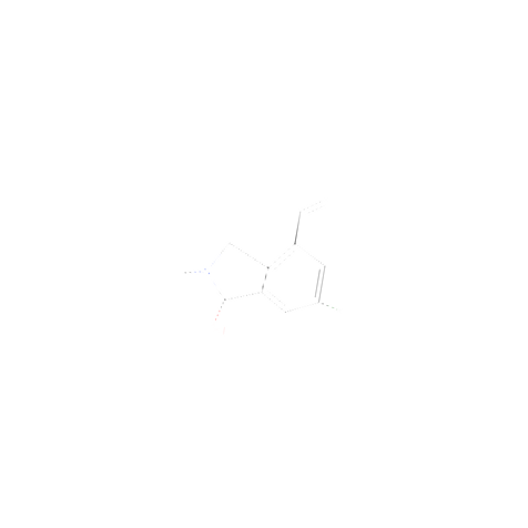 C=Cc1cc(Cl)cc2c1CN(CC)C2O